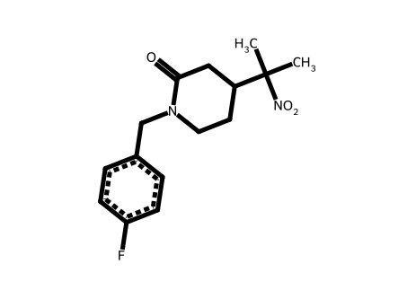 CC(C)(C1CCN(Cc2ccc(F)cc2)C(=O)C1)[N+](=O)[O-]